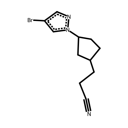 N#CCCC1CCC(n2cc(Br)cn2)C1